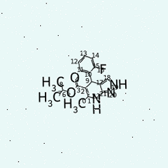 CC1=C(C(=O)OC(C)C)C(c2ccccc2F)c2c[nH]nc2N1